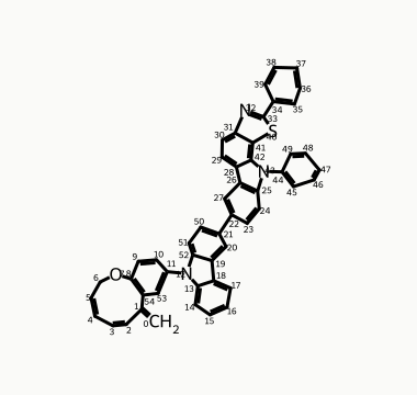 C=C1/C=C\C=C/COc2ccc(-n3c4ccccc4c4cc(-c5ccc6c(c5)c5ccc7nc(-c8ccccc8)sc7c5n6-c5ccccc5)ccc43)cc21